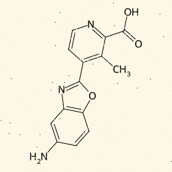 Cc1c(-c2nc3cc(N)ccc3o2)ccnc1C(=O)O